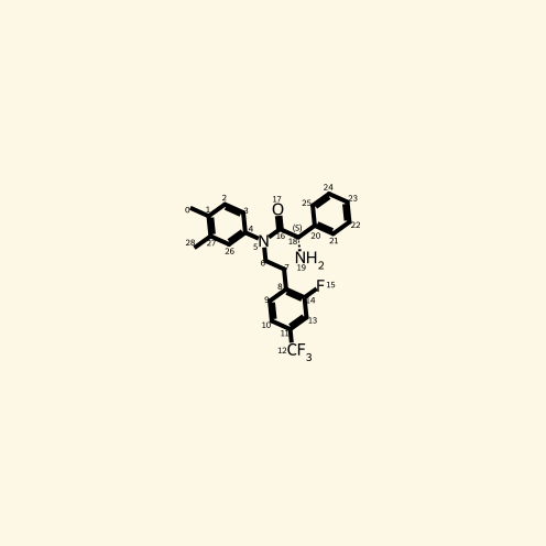 Cc1ccc(N(CCc2ccc(C(F)(F)F)cc2F)C(=O)[C@@H](N)c2ccccc2)cc1C